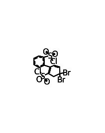 O=S(=O)(Cl)C1=C(c2ccccc2S(=O)(=O)Cl)C=CC(Br)(Br)C1